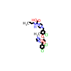 CCCCNC(C(=O)O)N1CCN(Cc2cc(C)c(OC[C@@H]3CO[C@@](Cn4ccnc4)(c4ccc(Cl)cc4Cl)O3)c(Cl)c2)CC1